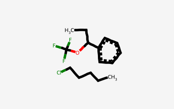 CCC(OC(F)(F)F)c1ccccc1.CCCCCCl